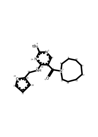 CC(C)(C)c1ncc(C(=O)N2CCCCCCCC2)c(NCc2ccco2)n1